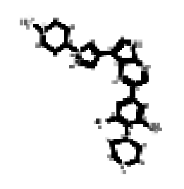 Cc1cc(-c2cnc3[nH]cc(-c4cnn(C5CCN(C)CC5)c4)c3n2)cc(C)c1N1CCOCC1